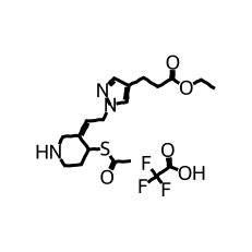 CCOC(=O)CCc1cnn(CC=C2CNCCC2SC(C)=O)c1.O=C(O)C(F)(F)F